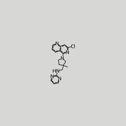 CC1(CNc2ncccn2)CCN(c2nc(Cl)cc3ncccc23)C1